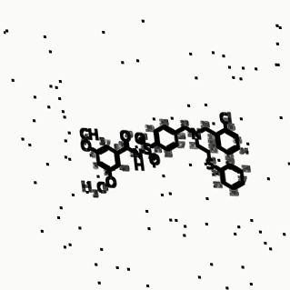 COc1cc(OC)cc(C(=O)NS(=O)(=O)c2ccc(CN(CCSc3ccccc3)Cc3ccccc3Cl)cc2)c1